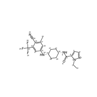 CCn1nccc1C(=O)N[C@H]1CC[C@@H](Nc2cc(C)c(C#N)c(C(F)(F)F)c2)CC1